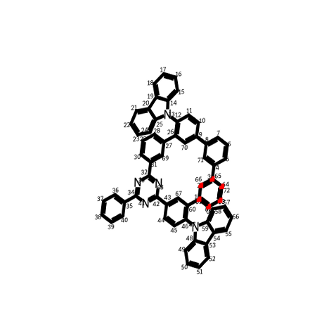 c1ccc(-c2cccc(-c3ccc(-n4c5ccccc5c5ccccc54)c(-c4cccc(-c5nc(-c6ccccc6)nc(-c6ccc(-n7c8ccccc8c8ccccc87)c(-c7ccccc7)c6)n5)c4)c3)c2)cc1